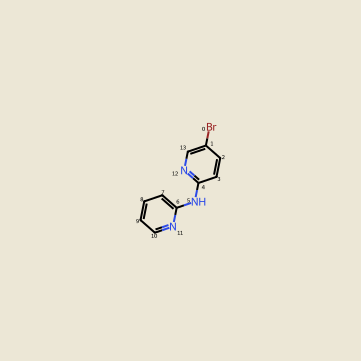 Brc1ccc(Nc2ccccn2)nc1